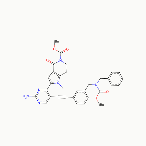 Cn1c(-c2nc(N)ncc2C#Cc2cccc(CN(Cc3ccccc3)C(=O)OC(C)(C)C)c2)cc2c1CCN(C(=O)OC(C)(C)C)C2=O